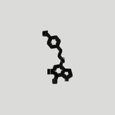 O=c1[nH]cc(SCCc2ccc(Cl)cc2)c2ccsc12